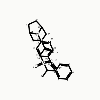 CC(c1ccccc1)S(=O)(=O)CC(=O)N1CC2CCC(C1)N2c1ccc(C#N)cn1